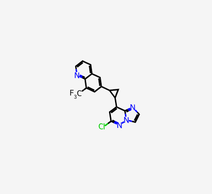 FC(F)(F)c1cc(C2CC2c2cc(Cl)nn3ccnc23)cc2cccnc12